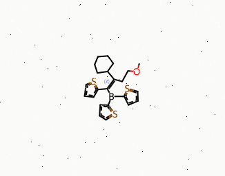 COCC/C(=C(\B(c1cccs1)c1cccs1)c1cccs1)C1CCCCC1